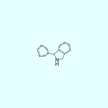 c1ccc(C2NCc3ccccc32)cc1